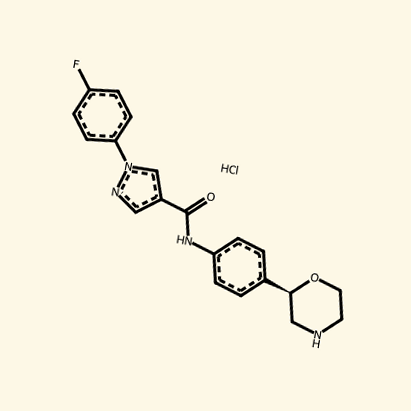 Cl.O=C(Nc1ccc([C@@H]2CNCCO2)cc1)c1cnn(-c2ccc(F)cc2)c1